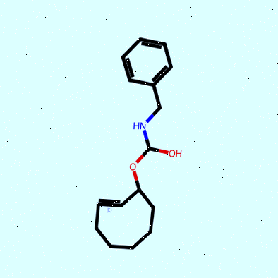 OC(NCc1ccccc1)OC1/C=C/CCCCC1